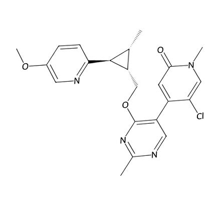 COc1ccc([C@H]2[C@H](C)[C@@H]2COc2nc(C)ncc2-c2cc(=O)n(C)cc2Cl)nc1